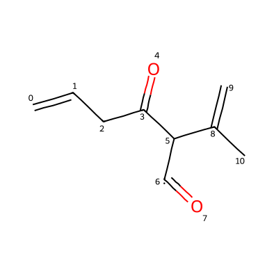 C=CCC(=O)C([C]=O)C(=C)C